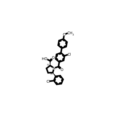 COc1ccc(-c2ccc(C(=O)N3[C@@H](c4ccccc4Cl)CC[C@H]3C(=O)O)cc2Cl)cc1